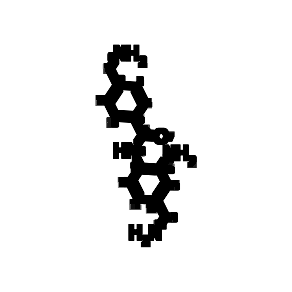 NCc1ccc(C(=O)Nc2ccc(CN)cc2N)cc1